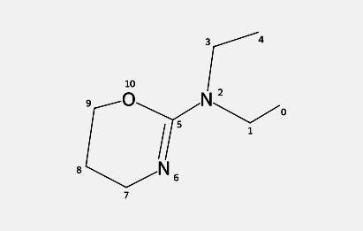 CCN(CC)C1=NCCCO1